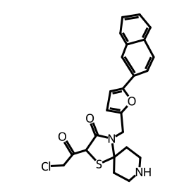 O=C(CCl)C1SC2(CCNCC2)N(Cc2ccc(-c3ccc4ccccc4c3)o2)C1=O